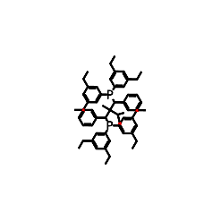 CCc1cc(CC)cc(P(c2cc(CC)cc(CC)c2)C(c2ccccc2)C(C)(C(C)C)C(c2ccccc2)P(c2cc(CC)cc(CC)c2)c2cc(CC)cc(CC)c2)c1